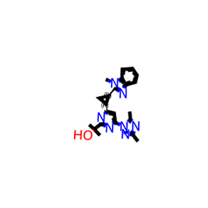 Cc1nc(C)n(-c2cc([C@@H]3C[C@H]3c3nc4ccccc4n3C)nc(C(C)(C)O)n2)n1